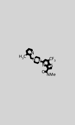 CNC(=O)c1csc2c(C(F)(F)F)cc(N3CCN(Cc4ncccc4C)CC3)nc12